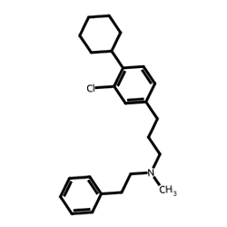 CN(CCCc1ccc(C2CCCCC2)c(Cl)c1)CCc1ccccc1